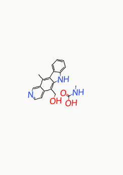 CNC(=O)O.Cc1c2cnccc2c(CO)c2[nH]c3ccccc3c12